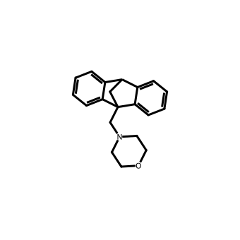 c1ccc2c(c1)C1CC2(CN2CCOCC2)c2ccccc21